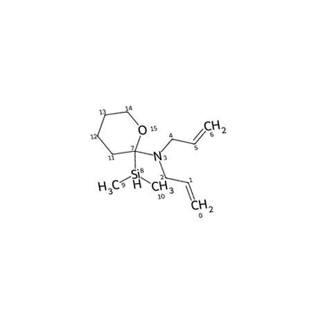 C=CCN(CC=C)C1([SiH](C)C)CCCCO1